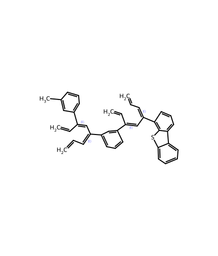 C=C/C=C(\C=C(/C=C)c1cccc(C)c1)c1cccc(/C(C=C)=C/C(=C\C=C)c2cccc3c2sc2ccccc23)c1